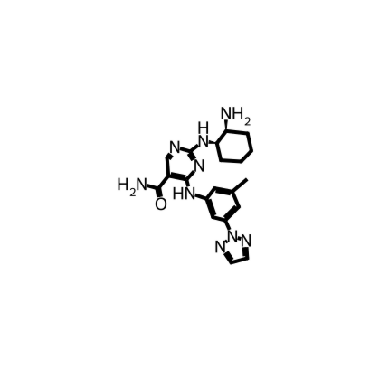 Cc1cc(Nc2nc(N[C@@H]3CCCC[C@@H]3N)ncc2C(N)=O)cc(-n2nccn2)c1